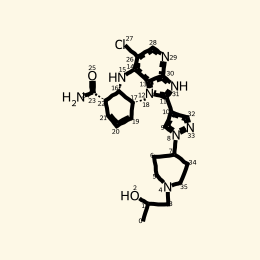 CC(O)CN1CCC(n2cc(-c3nc4c(N[C@@H]5[C@H](C)C=C=C[C@@H]5C(N)=O)c(Cl)cnc4[nH]3)cn2)CC1